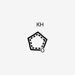 [KH].c1ccoc1